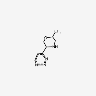 CC1CNC(c2ccnnn2)CO1